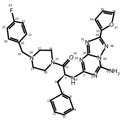 Nc1nc(N[C@@H](Cc2ccccc2)C(=O)N2CCN(Cc3ccc(F)cc3)CC2)nc2nc(-c3ccco3)nn12